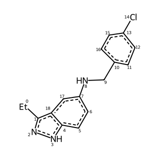 CCc1n[nH]c2ccc(NCc3ccc(Cl)cc3)cc12